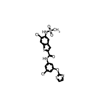 CS(=O)(=O)Nc1cc2cc(C(=O)Nc3cc(Cl)cc(Oc4nccs4)c3)sc2cc1Cl